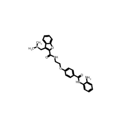 CN(C)Cc1c(C(=O)NCCOc2ccc(C(=O)Nc3ccccc3N)cc2)oc2ccccc12